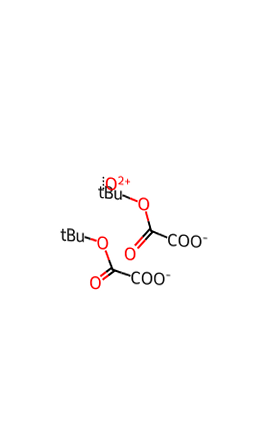 CC(C)(C)OC(=O)C(=O)[O-].CC(C)(C)OC(=O)C(=O)[O-].[O+2]